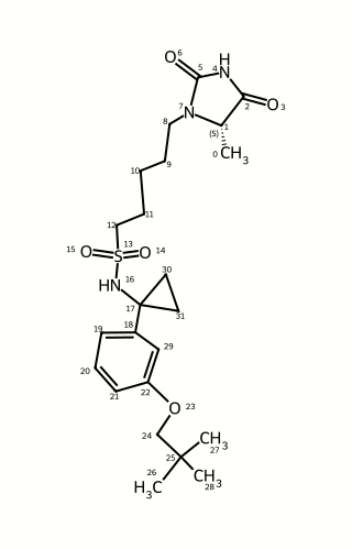 C[C@H]1C(=O)NC(=O)N1CCCCCS(=O)(=O)NC1(c2cccc(OCC(C)(C)C)c2)CC1